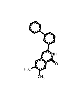 Cc1cc2cc(-c3cccc(-c4ccccc4)c3)[nH]c(=O)c2cc1C